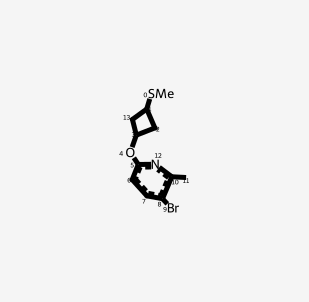 CSC1CC(Oc2ccc(Br)c(C)n2)C1